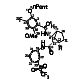 CCCCCOc1cc(C(=O)N[C@@H]2[C@H]3CC[C@H](C3)[C@@H]2C(=O)Nc2cccc(S(=O)(=O)C(F)(F)F)c2)c(OC)cc1F